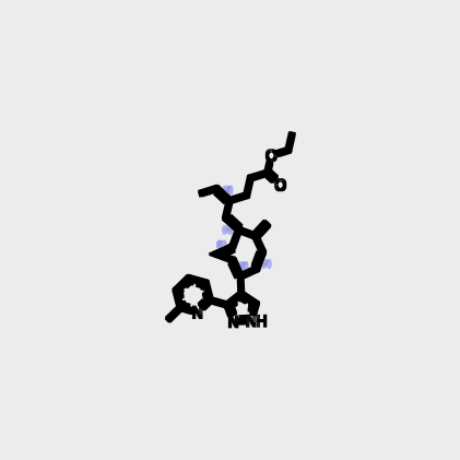 C=C1\C=C/C(c2c[nH]nc2-c2cccc(C)n2)=C/C=C/C1=C/C(=C\C)CCC(=O)OCC